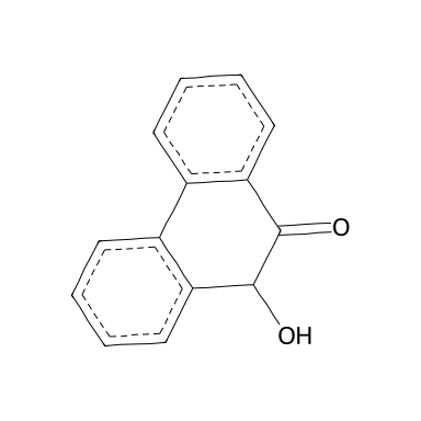 O=C1c2ccccc2-c2ccccc2C1O